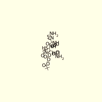 CC(C)(C)C(=O)OCOC(=O)OC1=C(COC(N)=O)C(NC(=O)C(NS(C)(=O)=O)c2csc(N)n2)S[C@H]2CC(=O)N12.Cl